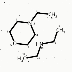 CCN1CCOCC1.CCNCC